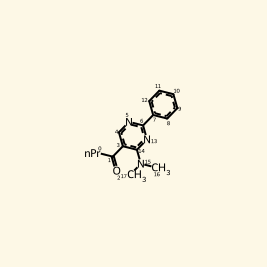 CCCC(=O)c1cnc(-c2ccccc2)nc1N(C)C